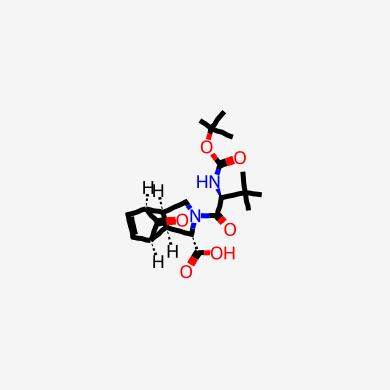 CC(C)(C)OC(=O)N[C@H](C(=O)N1C[C@H]2[C@@H]([C@H]1C(=O)O)[C@H]1C=C[C@@H]2C1=O)C(C)(C)C